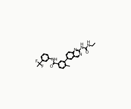 CCNC(=O)Nc1ncc2cc(-c3cc(C(=O)Nc4cccc(C(C)(F)F)c4)ccc3C)ccc2n1